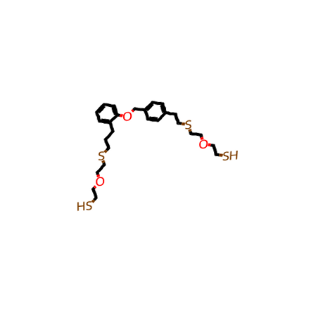 SCCOCCSCCCc1ccccc1OCc1ccc(CCSCCOCCS)cc1